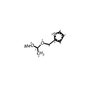 COC(C)OCc1cccs1